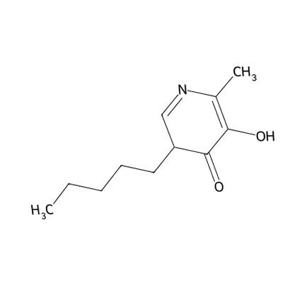 CCCCCC1C=NC(C)=C(O)C1=O